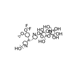 CC(C)(O)c1ccc([C@@H](Cc2ccc(O[C@@H]3OC(CO)[C@@H](O[C@@H]4OC(CO)[C@@H](O)C(O)[C@@H]4O)C(O)[C@@H]3O)nc2)c2ccc(OC(F)F)c(OC3CC3)c2)cn1